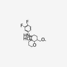 COCC1CC[C@H](Nc2ccc(F)c(F)c2)[C@]2(O)CCCOC12